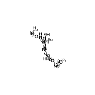 Cc1ncsc1-c1ccc(CNC(=O)[C@@H]2C[C@@H](O)CN2C(=O)[C@@H](NC(=O)COc2cnc(C3CCN(CC(=O)Nc4cn5cc(-c6cnc7c(c6)N(C(=O)OC(C)C)CCO7)ccc5n4)CC3)nc2)C(C)(C)C)cc1